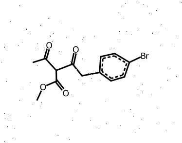 COC(=O)C(C(C)=O)C(=O)Cc1ccc(Br)cc1